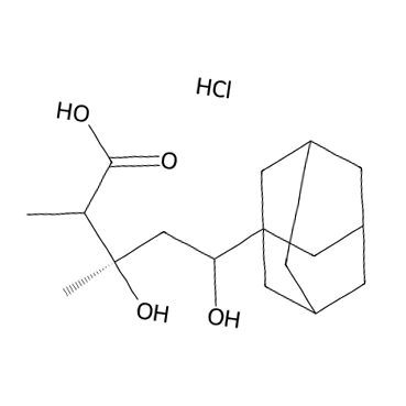 CC(C(=O)O)[C@](C)(O)CC(O)C12CC3CC(CC(C3)C1)C2.Cl